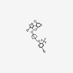 N#Cc1cnc(OCC23CCC(OCc4c(-c5c(Cl)cncc5Cl)noc4C4CC4)(CC2)CC3)c(C(F)(F)F)c1